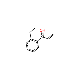 C=C[SiH](O)c1ccccc1CC